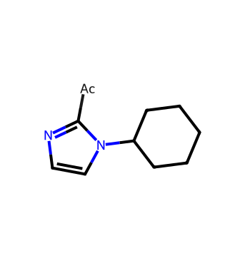 CC(=O)c1nccn1C1CCCCC1